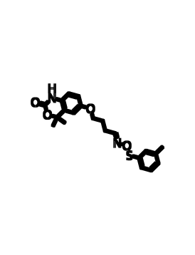 Cc1cccc(SON=CCCCOc2ccc3c(c2)C(C)(C)OC(=O)N3)c1